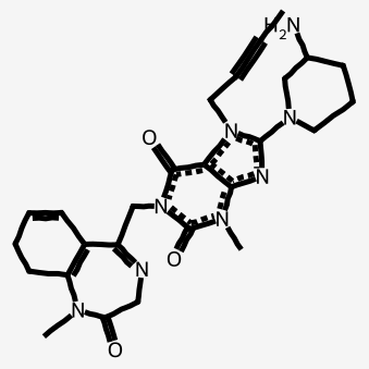 CC#CCn1c(N2CCCC(N)C2)nc2c1c(=O)n(CC1=NCC(=O)N(C)C3=C1C=CCC3)c(=O)n2C